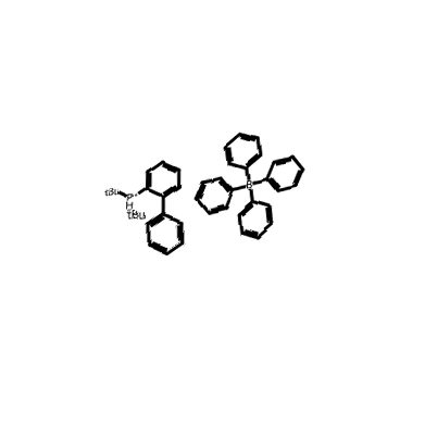 CC(C)(C)[PH+](c1ccccc1-c1ccccc1)C(C)(C)C.c1ccc([B-](c2ccccc2)(c2ccccc2)c2ccccc2)cc1